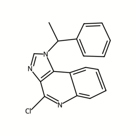 CC(c1ccccc1)n1cnc2c(Cl)nc3ccccc3c21